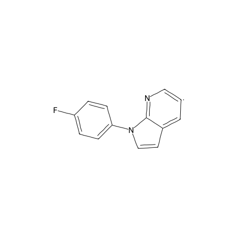 Fc1ccc(-n2ccc3c[c]cnc32)cc1